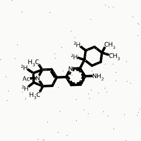 [2H]C1CC(C)(C)CCC1([2H])c1nc(C2=CC3(C)C([2H])C([2H])C(C)(C2)N3C(C)=O)ccc1N